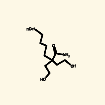 CCCCCCCCCCCCC(CCO)(CCO)C(N)=O